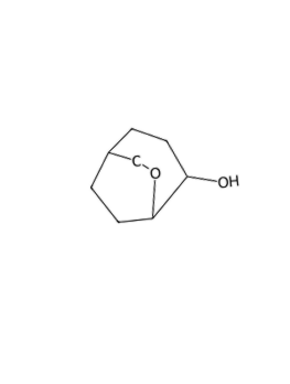 OC1CCC2CCC1OC2